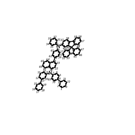 c1ccc(-c2ccc(N(c3cccc(-c4ccccc4)c3)c3ccc(-c4ccc(N(c5ccccc5)c5ccc6c(c5)C(c5ccccc5)(c5ccccc5)c5ccccc5-6)cc4)c4ccccc34)cc2)cc1